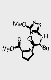 CC[C@H](C)[C@H](Nc1nc(OC)ns1)C(=O)N1CCC[C@H]1C(=O)OC